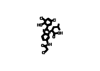 CC(C)CC(C(=O)O)n1c(-c2cc(Cl)cc(Cl)c2O)nc2ccc(NC(=O)CCl)cc21